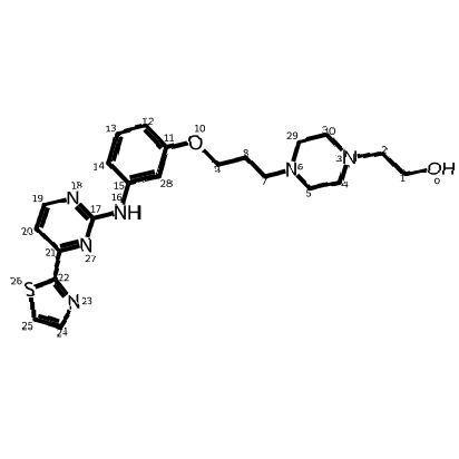 OCCN1CCN(CCCOc2cccc(Nc3nccc(-c4nccs4)n3)c2)CC1